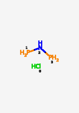 Cl.PNP